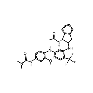 COc1cc(NC(=O)N(C)C)ccc1Nc1ncc(C(F)(F)F)c(N[C@@H]2Cc3ccccc3[C@H]2NC(C)=O)n1